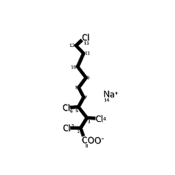 O=C([O-])C(Cl)C(Cl)C(Cl)CCCCCCCl.[Na+]